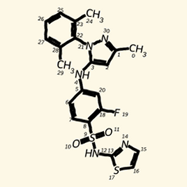 Cc1cc(Nc2ccc(S(=O)(=O)Nc3nccs3)c(F)c2)n(-c2c(C)cccc2C)n1